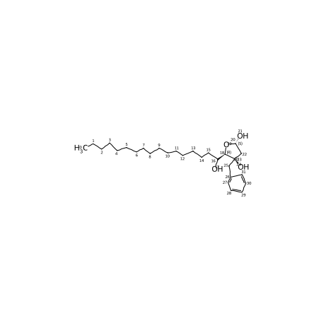 CCCCCCCCCCCCCCCCC(O)[C@H]1O[C@H](O)C[C@]1(O)Cc1ccccc1